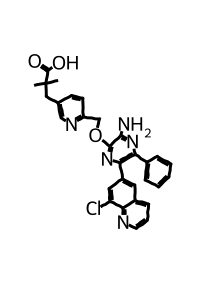 CC(C)(Cc1ccc(COc2nc(-c3cc(Cl)c4ncccc4c3)c(-c3ccccc3)nc2N)nc1)C(=O)O